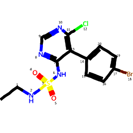 CCNS(=O)(=O)Nc1ncnc(Cl)c1-c1ccc(Br)cc1